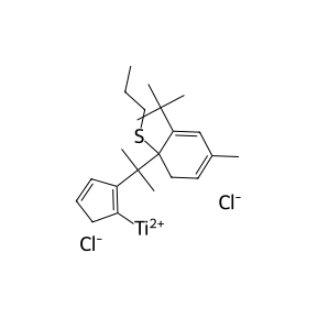 CCCSC1(C(C)(C)C2=[C]([Ti+2])CC=C2)CC=C(C)C=C1C(C)(C)C.[Cl-].[Cl-]